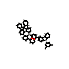 Cc1cc(C)cc(-n2c3ccccc3c3cc(-c4ccc(N(c5ccc6c(c5)C(c5ccccc5)(c5ccccc5)c5ccccc5-6)c5ccccc5-c5ccccc5)cc4)ccc32)c1